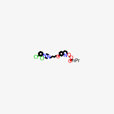 CCCC(=O)OCOC1=Nc2cc(OCCCCN3CCN(c4cccc(Cl)c4Cl)CC3)ccc2CC1